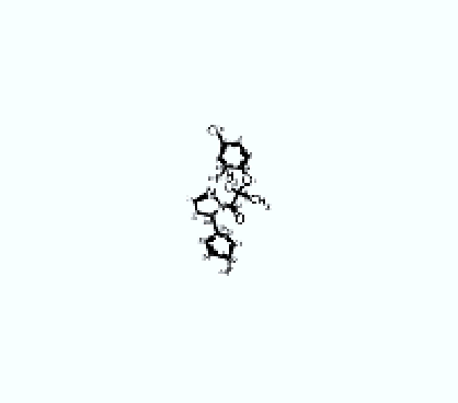 CC(C)(Oc1ccc(Cl)cc1F)C(=O)N1N=CCC1c1ccc(F)cc1